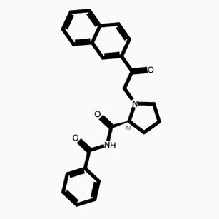 O=C(CN1CCC[C@H]1C(=O)NC(=O)c1ccccc1)c1ccc2ccccc2c1